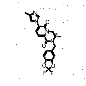 Cc1cn(-c2ccc3n(c2=O)C[C@@H](C)N(Cc2ccc4c(c2)OC(F)(F)O4)C3=O)cn1